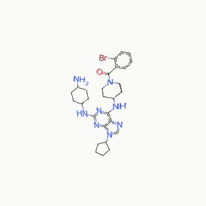 NC1CCC(Nc2nc(NC3CCN(C(=O)c4ccccc4Br)CC3)c3ncn(C4CCCC4)c3n2)CC1